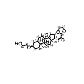 C/C(=C/[C@H]1CC[C@@]2(O)[C@@H]3CCC4CC(OCCO)CC[C@]4(C)[C@H]3CC[C@]12C)C1OCCO1